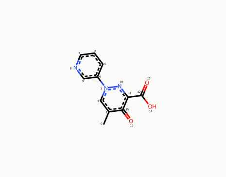 Cc1cn(-c2cccnc2)nc(C(=O)O)c1=O